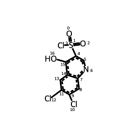 O=S(=O)(Cl)c1cnc2cc(Cl)c(Cl)cc2c1O